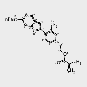 C=C(C)C(=O)OCSc1ccc(-c2cc3ccc(CCCCC)cc3o2)c(C(F)(F)F)c1